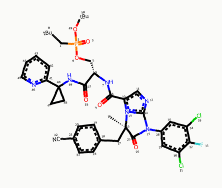 CC(C)(C)CP(=O)(OC[C@H](NC(=O)c1cnc2n1[C@](C)(Cc1ccc(C#N)cc1)C(=O)N2c1cc(Cl)c(F)c(Cl)c1)C(=O)NC1(c2ccccn2)CC1)OC(C)(C)C